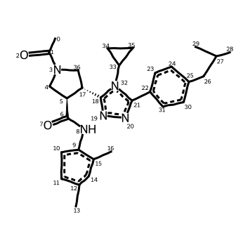 CC(=O)N1C[C@H](C(=O)Nc2ccc(C)cc2C)[C@@H](c2nnc(-c3ccc(CC(C)C)cc3)n2C2CC2)C1